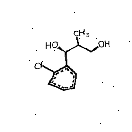 CC(CO)[C@H](O)c1ccccc1Cl